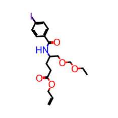 C=CCOC(=O)CCC(COCOCC)NC(=O)c1ccc(I)cc1